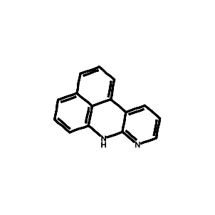 c1cnc2c(c1)-c1cccc3cccc(c13)N2